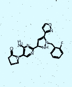 Nc1nc(C2C=C(c3ccon3)N(Cc3ccccc3F)N2)ncc1N1CCCC1=O